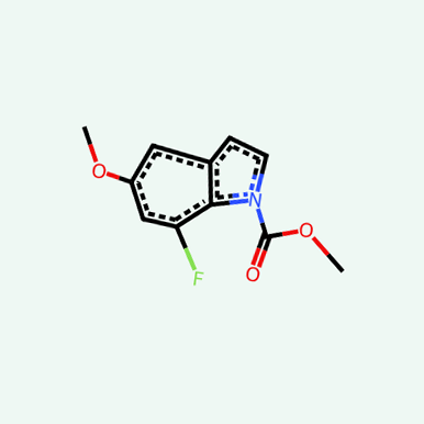 COC(=O)n1ccc2cc(OC)cc(F)c21